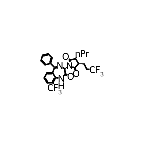 CCC[C@@H]1C(=O)N([C@@H]2N=C(c3ccccc3)c3cccc(C(F)(F)F)c3NC2=O)C(=O)[C@@H]1CCC(F)(F)F